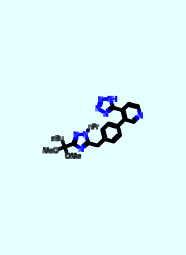 CCCCC(OC)(OC)c1nc(Cc2ccc(-c3cnccc3-c3nnn[nH]3)cc2)n(CCC)n1